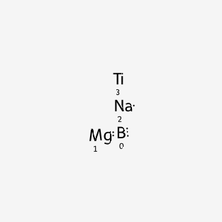 [B].[Mg].[Na].[Ti]